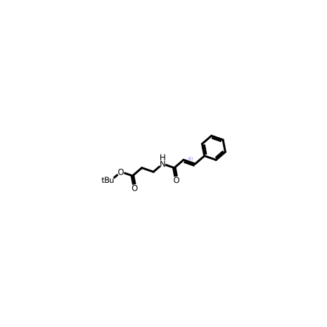 CC(C)(C)OC(=O)CCNC(=O)/C=C/c1ccccc1